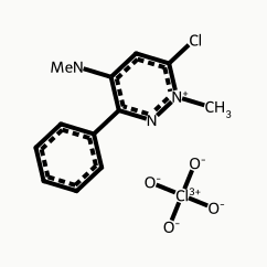 CNc1cc(Cl)[n+](C)nc1-c1ccccc1.[O-][Cl+3]([O-])([O-])[O-]